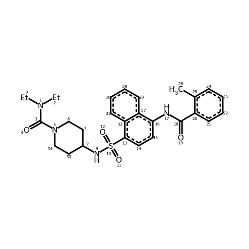 CCN(CC)C(=O)N1CCC(NS(=O)(=O)c2ccc(NC(=O)c3ccccc3C)c3ccccc23)CC1